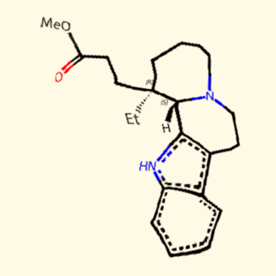 CC[C@]1(CCC(=O)OC)CCCN2CCc3c([nH]c4ccccc34)[C@@H]21